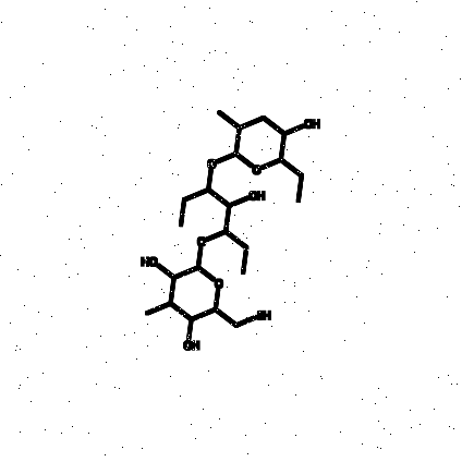 CCC1OC(OC(CC)C(O)C(CC)OC2OC(CS)C(O)C(C)C2O)C(C)CC1O